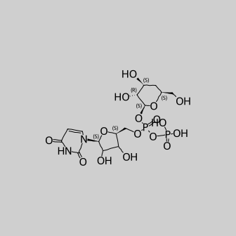 O=c1ccn([C@H]2O[C@@H](COP(=O)(O[C@@H]3O[C@H](CO)C[C@H](O)[C@H]3O)OP(=O)(O)O)C(O)C2O)c(=O)[nH]1